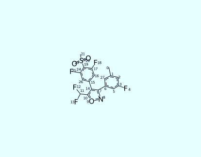 Cc1cc(F)cc(-c2noc(C(F)F)c2-c2cc(F)c(S(C)(=O)=O)c(F)c2)c1